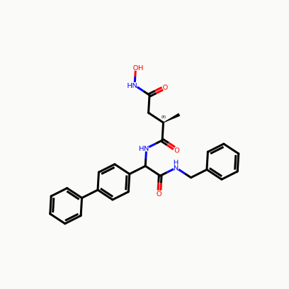 C[C@H](CC(=O)NO)C(=O)NC(C(=O)NCc1ccccc1)c1ccc(-c2ccccc2)cc1